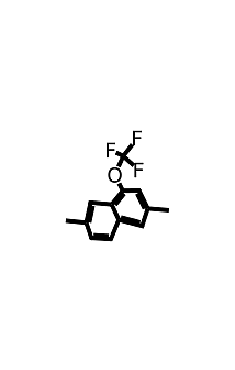 Cc1cc(OC(F)(F)F)c2cc(C)ccc2c1